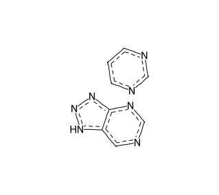 c1cncnc1.c1ncc2[nH]nnc2n1